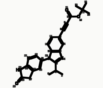 CC(C)c1nc2cc(C#CC(=O)OC(C)(C)C)ccc2n1-c1cnc2c(c1)CC(=O)N2